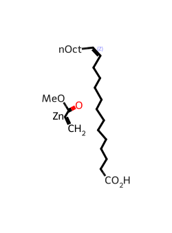 C=CC(=O)OC.CCCCCCCC/C=C\CCCCCCCCCCCC(=O)O.[Zn]